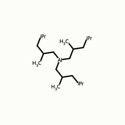 CC(C)CC(C)[CH2][Al]([CH2]C(C)CC(C)C)[CH2]C(C)CC(C)C